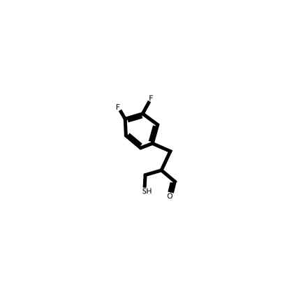 O=[C]C(CS)Cc1ccc(F)c(F)c1